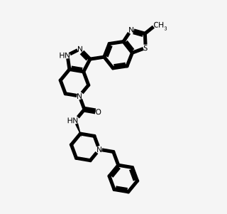 Cc1nc2cc(-c3n[nH]c4c3CN(C(=O)N[C@@H]3CCCN(Cc5ccccc5)C3)CC4)ccc2s1